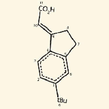 CC(C)(C)c1ccc2c(c1)CCC2=CC(=O)O